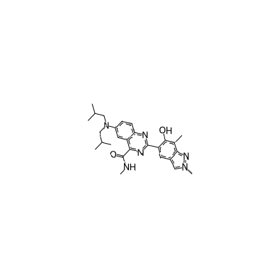 CNC(=O)c1nc(-c2cc3cn(C)nc3c(C)c2O)nc2ccc(N(CC(C)C)CC(C)C)cc12